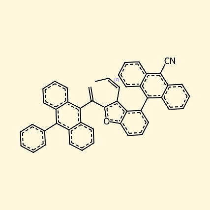 C=C(c1oc2cccc(-c3c4ccccc4c(C#N)c4ccccc34)c2c1/C=C\C)c1c2ccccc2c(-c2ccccc2)c2ccccc12